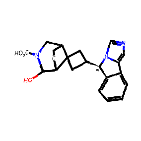 O=C(O)N1CC2CCC(C1O)C21CC([C@@H]2c3ccccc3-c3cncn32)C1